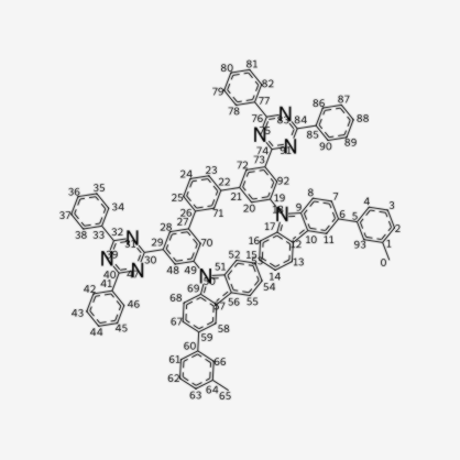 Cc1cccc(-c2ccc3c(c2)c2ccccc2n3-c2cc(-c3cccc(-c4cc(-c5nc(-c6ccccc6)nc(-c6ccccc6)n5)cc(-n5c6ccccc6c6cc(-c7cccc(C)c7)ccc65)c4)c3)cc(-c3nc(-c4ccccc4)nc(-c4ccccc4)n3)c2)c1